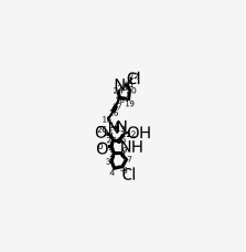 O=c1c2ccc(Cl)cc2[nH]c2c(O)nn(CC#Cc3ccc(Cl)nc3)c(=O)c12